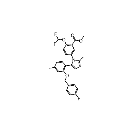 COC(=O)c1cc(-n2c(C)ccc2-c2ccc(C)cc2OCc2ccc(F)cc2)ccc1OC(F)F